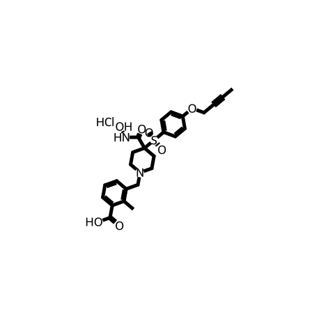 CC#CCOc1ccc(S(=O)(=O)C2(C(=O)NO)CCN(Cc3cccc(C(=O)O)c3C)CC2)cc1.Cl